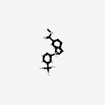 COC(=O)c1ccc2ccn(-c3cccc(C(F)(F)F)c3)c2c1